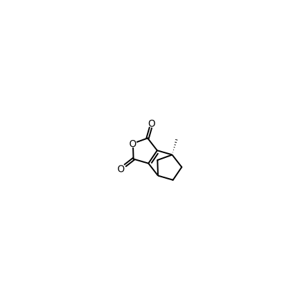 C[C@]12CCC(C1)C1=C2C(=O)OC1=O